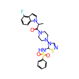 CC(C(=O)N1CCN(N2C=NSC2NS(=O)(=O)c2ccccc2)CC1)n1ccc2c(F)cccc21